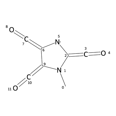 CN1C(=C=O)[N]C(=C=O)C1=C=O